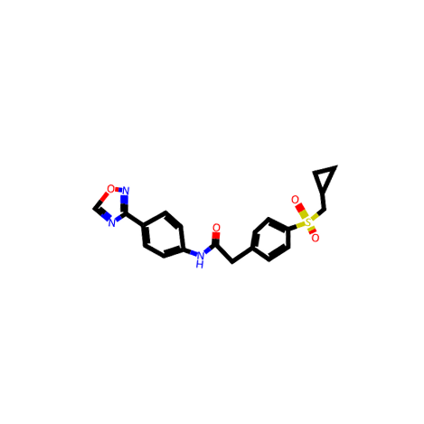 O=C(Cc1ccc(S(=O)(=O)CC2CC2)cc1)Nc1ccc(-c2ncon2)cc1